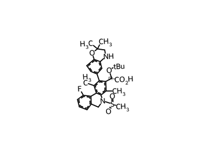 Cc1c(-c2ccc3c(c2)NCC(C)(C)O3)c([C@H](OC(C)(C)C)C(=O)O)c(C)c2c1-c1c(F)cccc1CN2S(C)(=O)=O